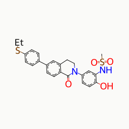 CCSc1ccc(-c2ccc3c(c2)CCN(c2ccc(O)c(NS(C)(=O)=O)c2)C3=O)cc1